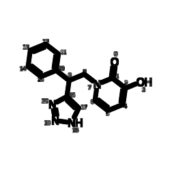 O=c1c(O)cccn1CC(c1ccccc1)c1c[nH]nn1